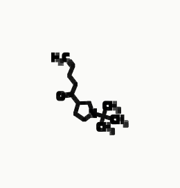 C=CCCC(=O)C1CCN(C(C)(C)C)C1